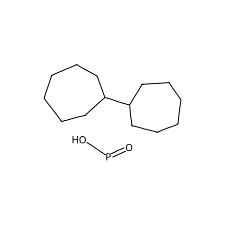 C1CCCC(C2CCCCCC2)CC1.O=PO